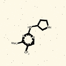 COc1nc(NC2CCNC2)ncc1C(F)(F)F